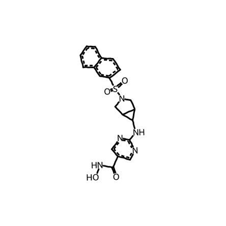 O=C(NO)c1cnc(NC2C3CN(S(=O)(=O)c4ccc5ccccc5c4)CC32)nc1